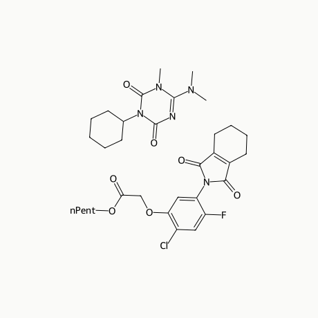 CCCCCOC(=O)COc1cc(N2C(=O)C3=C(CCCC3)C2=O)c(F)cc1Cl.CN(C)c1nc(=O)n(C2CCCCC2)c(=O)n1C